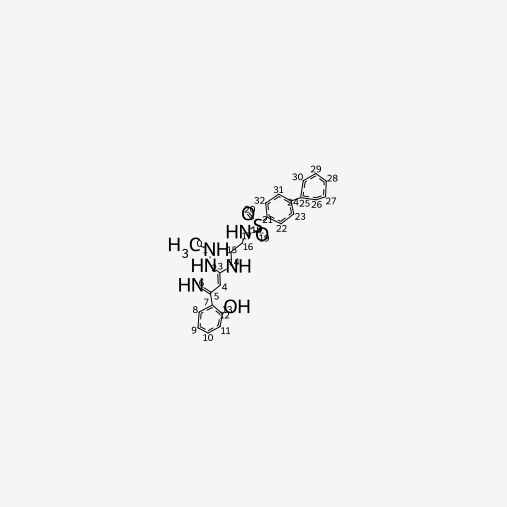 CNN/C(=C\C(=N)c1ccccc1O)NCCNS(=O)(=O)c1ccc(-c2ccccc2)cc1